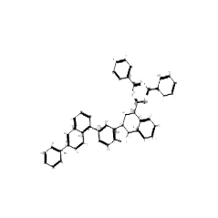 C1=CCC(c2nc(-c3ccccc3)nc(C3CC4c5cc(-c6cccc7cc(-c8ccccc8)ccc67)ccc5OC4c4ccccc43)n2)C=C1